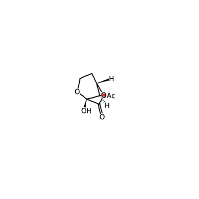 CC(=O)O[C@@H]1[C@@H]2CCO[C@@]1(O)C(=O)O2